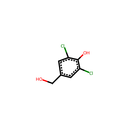 O[CH]c1cc(Cl)c(O)c(Cl)c1